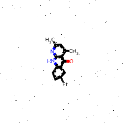 CCc1ccc2[nH]c3nc(C)cc(C)c3c(=O)c2c1